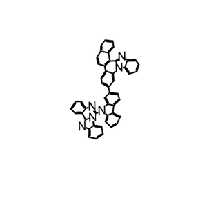 c1ccc2c(c1)ccc1c3ccc(-c4ccc5c6ccccc6n(-c6nc7ccccc7c7nc8ccccc8n67)c5c4)cc3n3c4ccccc4nc3c21